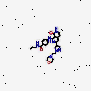 CCCNC(=O)c1ccc(Nc2nc(C3C=NN(CCN4CCOCC4)C3)cc3cc[nH]c(=O)c23)cc1